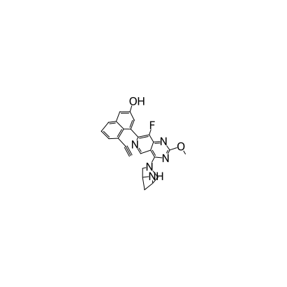 C#Cc1cccc2cc(O)cc(-c3ncc4c(N5CC6CC(C5)N6)nc(OC)nc4c3F)c12